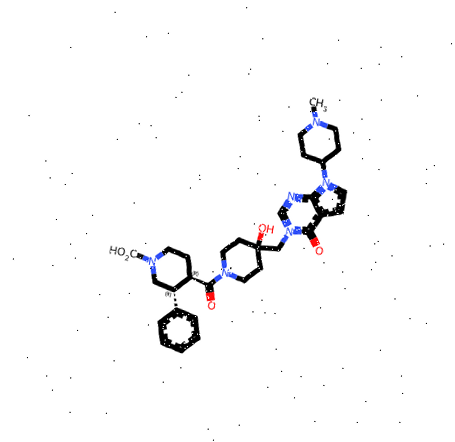 CN1CCC(n2ccc3c(=O)n(CC4(O)CCN(C(=O)[C@@H]5CCN(C(=O)O)C[C@H]5c5ccccc5)CC4)cnc32)CC1